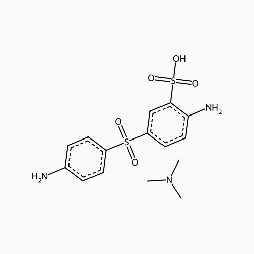 CN(C)C.Nc1ccc(S(=O)(=O)c2ccc(N)c(S(=O)(=O)O)c2)cc1